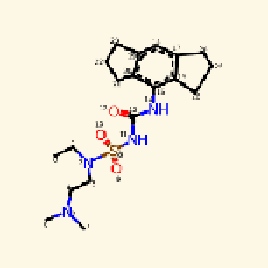 CCN(CCN(C)C)S(=O)(=O)NC(=O)Nc1c2c(cc3c1CCC3)CCC2